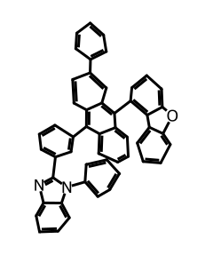 c1ccc(-c2ccc3c(-c4cccc(-c5nc6ccccc6n5-c5ccccc5)c4)c4ccccc4c(-c4cccc5oc6ccccc6c45)c3c2)cc1